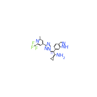 Cc1cc(-c2ncn(/C=C(/C(N)=C3CC3)c3ccc4cn[nH]c4c3)n2)cc(C(F)(F)F)n1